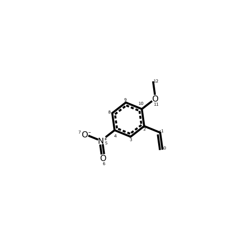 C=[C]c1cc([N+](=O)[O-])ccc1OC